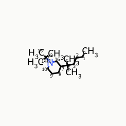 CCCCC(C)(C)C1CCCN(C(C)(C)C)C1